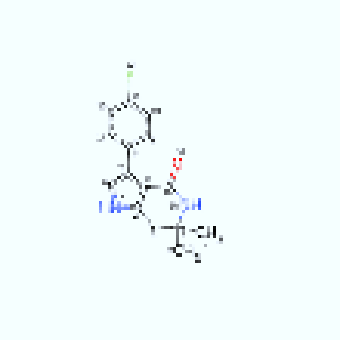 CC1(C)Cc2[nH]cc(-c3ccc(F)cc3)c2C(=O)N1